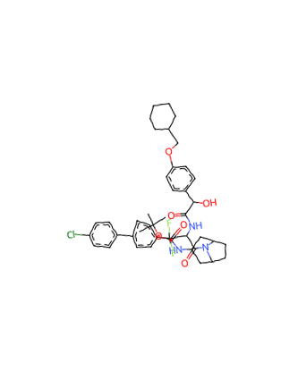 CC(C)(C)OC(=O)NC1CC2CCC(C1)N2C(=O)C(NC(=O)C(O)c1ccc(OCC2CCCCC2)cc1)C(F)(F)c1ccc(-c2ccc(Cl)cc2)cc1